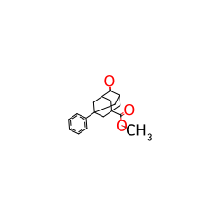 COC(=O)C12CC3CC(c4ccccc4)(CC(C1)C3=O)C2